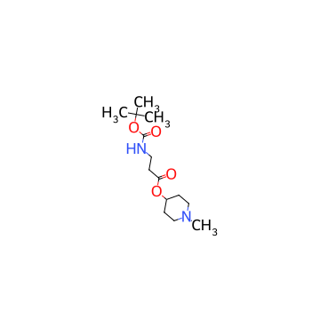 CN1CCC(OC(=O)CCNC(=O)OC(C)(C)C)CC1